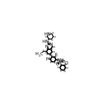 CCc1cc(-c2c(F)ccc(NS(=O)(=O)c3ccccc3Cl)c2F)cc2cnc(NC3CCCNC3)nc12